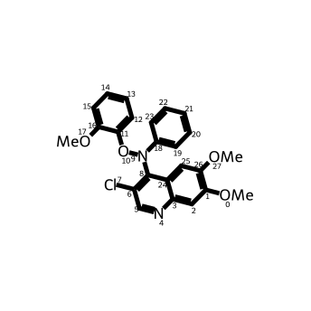 COc1cc2ncc(Cl)c(N(Oc3ccccc3OC)c3ccccc3)c2cc1OC